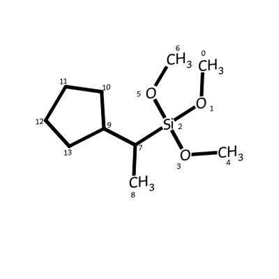 CO[Si](OC)(OC)C(C)C1CCCC1